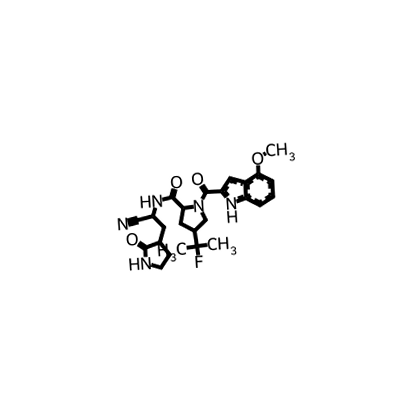 COc1cccc2[nH]c(C(=O)N3CC(C(C)(C)F)CC3C(=O)NC(C#N)CC3CCNC3=O)cc12